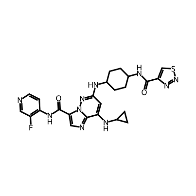 O=C(NC1CCC(Nc2cc(NC3CC3)c3ncc(C(=O)Nc4ccncc4F)n3n2)CC1)c1csnn1